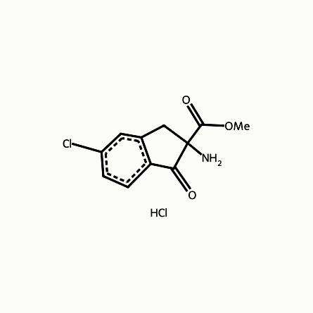 COC(=O)C1(N)Cc2cc(Cl)ccc2C1=O.Cl